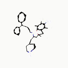 Cc1c(C)c2c(c(C)c1N)CC(C)(CC(CC1CCNCC1)NCCC(c1ccccc1)c1ccccc1)O2